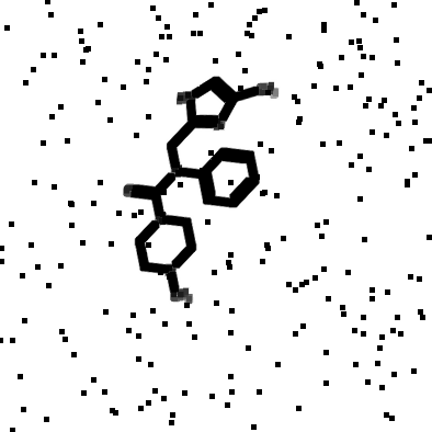 Cc1c[nH]c(CN(C(=O)N2CCN(C)CC2)c2ccccc2)n1